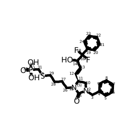 O=C1N(Cc2ccccc2)C[C@H](C=CC(O)C(F)(F)c2ccccc2)N1CCCCSCP(=O)(O)O